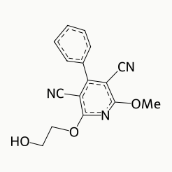 COc1nc(OCCO)c(C#N)c(-c2ccccc2)c1C#N